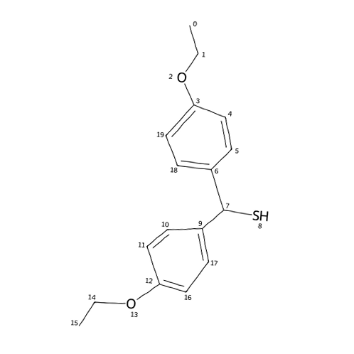 CCOc1ccc(C(S)c2ccc(OCC)cc2)cc1